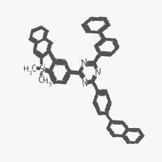 C[Si]1(C)c2ccc(-c3nc(-c4ccc(-c5ccc6ccccc6c5)cc4)nc(-c4cccc(-c5ccccc5)c4)n3)cc2-c2cc3ccccc3cc21